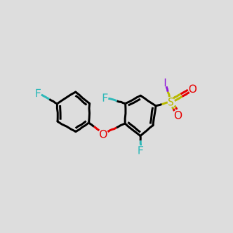 O=S(=O)(I)c1cc(F)c(Oc2ccc(F)cc2)c(F)c1